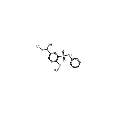 COc1ccc(C(O)OC)cc1S(=O)(=O)Nc1cccnc1